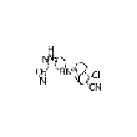 N#Cc1cnc2c(c1Cl)CCC[C@H]2Nc1ccc2[nH]nc(-c3cnco3)c2c1